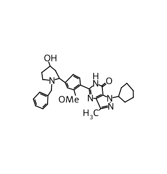 COc1cc(C2CC(O)CCN2Cc2ccccc2)ccc1-c1nc2c(C)nn(C3CCCCC3)c2c(=O)[nH]1